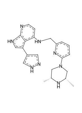 C[C@@H]1CN(c2cccc(CNc3ccnc4[nH]cc(-c5cn[nH]c5)c34)n2)C[C@H](C)N1